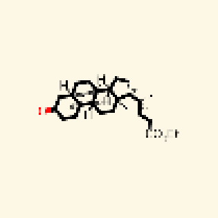 CCOC(=O)CC[C@@H](C)[C@H]1CC[C@H]2[C@@H]3CC[C@@H]4CC(=O)CC[C@]4(C)[C@H]3CC[C@]12C